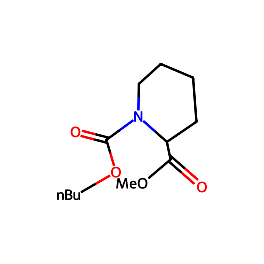 CCCCOC(=O)N1CCCCC1C(=O)OC